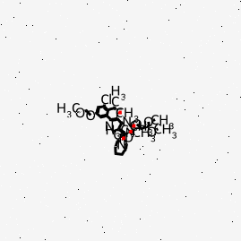 COCOc1cc(Cl)c(C(C)C)c(-c2ncc3c(N4CC5CCC(C4)N5C(=O)OC(C)(C)C)nc(OCC(OC)OC)nc3c2F)c1